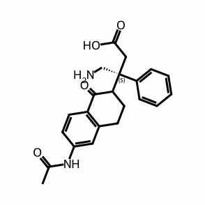 CC(=O)Nc1ccc2c(c1)CCC([C@@](CN)(CC(=O)O)c1ccccc1)C2=O